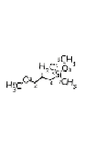 COCCC[Si](C)(C)OC